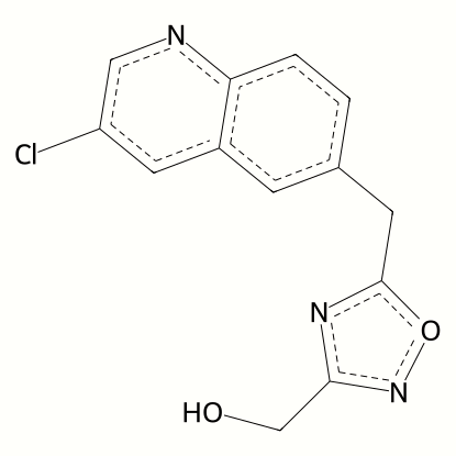 OCc1noc(Cc2ccc3ncc(Cl)cc3c2)n1